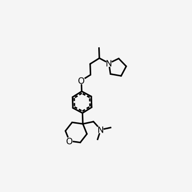 CC(CCOc1ccc(C2(CN(C)C)CCOCC2)cc1)N1CCCC1